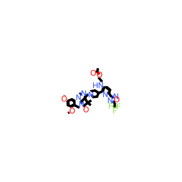 COc1ccc(CN2C(=O)C(C)(C)c3c(N4CCC(c5nc(-c6noc(C(F)(F)F)n6)ccc5NCCOC(C)=O)CC4)ncnc32)c(OC)c1